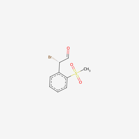 CS(=O)(=O)c1ccccc1[C@H](Br)C=O